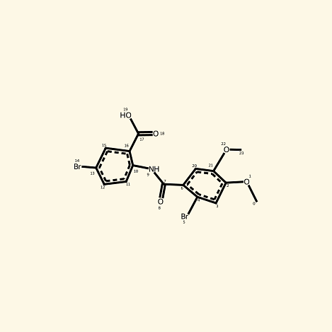 COc1cc(Br)c(C(=O)Nc2ccc(Br)cc2C(=O)O)cc1OC